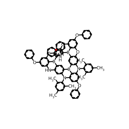 Cc1cc(C)c(N2c3cc4c(cc3B3c5cc6c(cc5N(c5c(C)cc(C)cc5C)c5cc(Oc7ccccc7)cc2c53)Oc2cc(Oc3ccccc3)cc3c2B6c2[nH]c5ccccc5c2O3)B2c3[nH]c5ccccc5c3Oc3cc(Oc5ccccc5)cc(c32)N4)c(C)c1